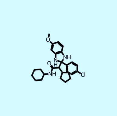 COc1ccc2c(c1)NC(c1ccc(Cl)cc1)(C(C(=O)NC1CCCCC1)C1CCCC1)N2